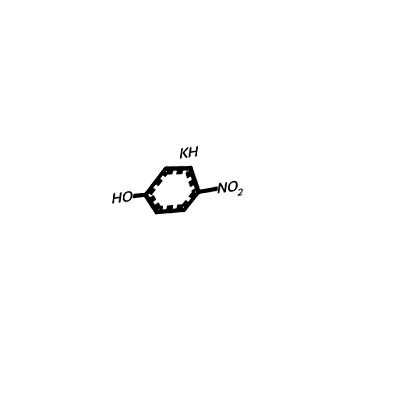 O=[N+]([O-])c1ccc(O)cc1.[KH]